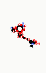 CC[C@H]1OC(=O)[C@H](C)[C@@H](O[C@@H]2C[C@@](C)(OC)[C@@H](OC(=O)CCOCCOc3ccc4c(c3)c(=O)c(C(=O)O)cn4C3CC3)[C@H](C)O2)[C@H](C)[C@H]2O[C@@H]3O[C@H](C)C[C@H](N(C)C)[C@H]3OO[C@]2(C)C[C@H](C)C(=O)[C@H](C)[C@H]2NC(=O)O[C@]21C